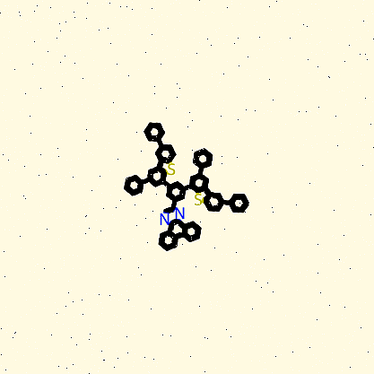 c1ccc(-c2ccc3sc4c(-c5cc(-c6cnc7c8ccccc8c8ccccc8c7n6)cc(-c6cc(-c7ccccc7)cc7c6sc6ccc(-c8ccccc8)cc67)c5)cc(-c5ccccc5)cc4c3c2)cc1